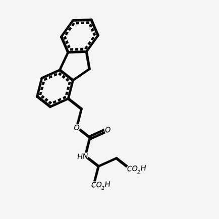 O=C(O)CC(NC(=O)OCc1cccc2c1Cc1ccccc1-2)C(=O)O